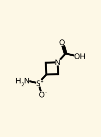 N[S+]([O-])C1CN(C(=O)O)C1